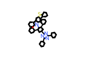 c1ccc(-c2nc(-c3ccccc3)nc(-c3cc(-c4ccccc4)c(-n4c5ccccc5c5cc6sc7ccccc7c6cc54)c(-c4ccccc4)c3)n2)cc1